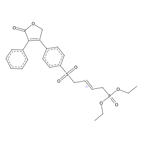 CCOP(=O)(C/C=C/CS(=O)(=O)c1ccc(C2=C(c3ccccc3)C(=O)OC2)cc1)OCC